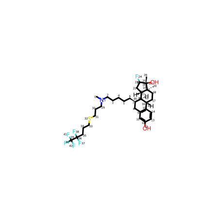 CN(CCCCC[C@@H]1Cc2cc(O)ccc2[C@H]2CC[C@@]3(C)[C@@H](C[C@@H](F)[C@]3(C)O)[C@H]12)CCCSCCCC(F)(F)C(F)(F)F